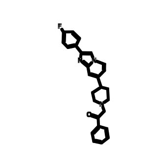 O=C(CN1CCC(c2ccn3cc(-c4ccc(F)cc4)nc3c2)CC1)c1ccccc1